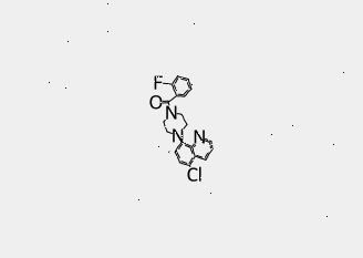 O=C(c1ccccc1F)N1CCN(c2[c]cc(Cl)c3cccnc23)CC1